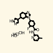 Cc1ccnc(NC(=O)c2ccc(-n3cnc4ccc(-c5cn[nH]c5)cc43)cc2F)c1.Cl.Cl.Cl